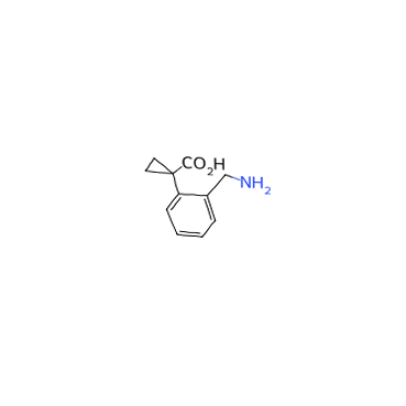 NCc1ccccc1C1(C(=O)O)CC1